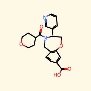 O=C(O)c1ccc2c(c1)OC[C@H](c1cccnc1)N(C(=O)C1CCOCC1)C2